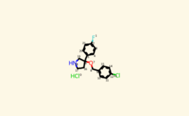 Cl.Fc1ccc(C2(OCc3ccc(Cl)cc3)CCNC2)cc1